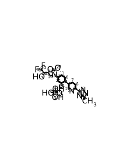 Cn1nnc(-c2ccc(-c3ccc(N4CC(C(O)C(F)F)OC4=O)cc3F)cn2)n1.O=P(O)(O)O